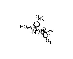 CCOC(=O)C=C(ONC(=N)C1(OCCO)CCN(C(=O)N(C)C)CC1)C(=O)OCC